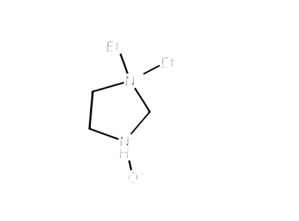 CC[N+]1(CC)CC[NH+]([O-])C1